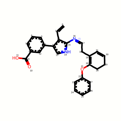 C=Cc1c(-c2cccc(C(=O)O)c2)c[nH]c1/N=C\CC1=C(Oc2ccccc2)CCC=C1